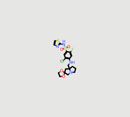 O=S(=O)(Nc1nccs1)c1cc(Cl)c(NCC23CCCN2CC2(C3)OCCO2)cc1F